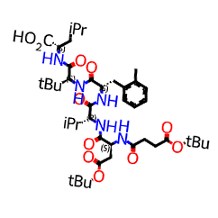 Cc1ccccc1C[C@H](NC(=O)[C@H](NC(=O)[C@H](CC(=O)OC(C)(C)C)NC(=O)CCC(=O)OC(C)(C)C)C(C)C)C(=O)N[C@H](C(=O)N[C@@H](CC(C)C)C(=O)O)C(C)(C)C